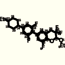 CCOC1Oc2c(F)cc(-c3c(F)cc(C4CCC(CC)CC4)cc3F)cc2CC1(F)F